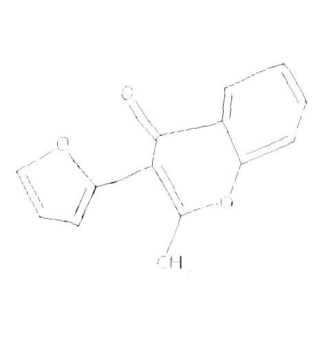 Cc1oc2ccccc2c(=O)c1-c1ccco1